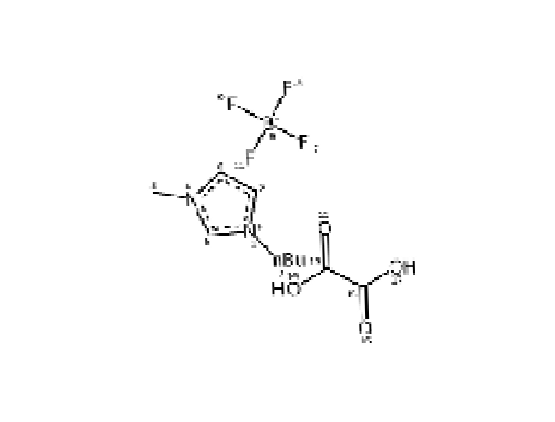 CCCC[n+]1ccn(C)c1.F[B-](F)(F)F.O=C(O)C(=O)O